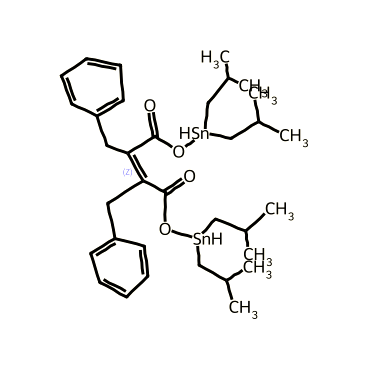 CC(C)[CH2][SnH]([CH2]C(C)C)[O]C(=O)/C(Cc1ccccc1)=C(/Cc1ccccc1)C(=O)[O][SnH]([CH2]C(C)C)[CH2]C(C)C